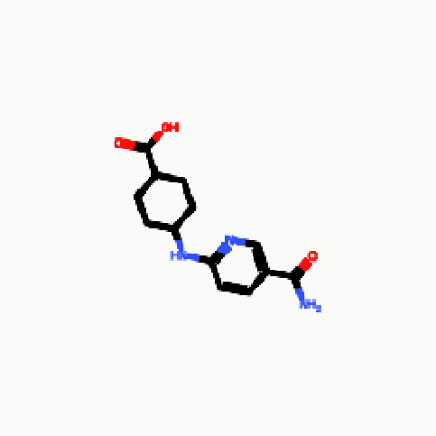 NC(=O)c1ccc(NC2CCC(C(=O)O)CC2)nc1